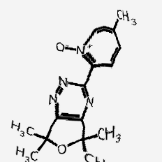 Cc1ccc(-c2nnc3c(n2)C(C)(C)OC3(C)C)[n+]([O-])c1